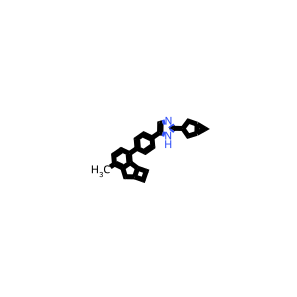 Cc1ccc(-c2ccc(-c3cnc(C4CC5CC5C4)[nH]3)cc2)c2c1CC1CCC21